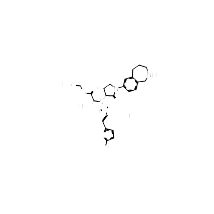 CCOC(=O)[C@H](C)N([C@H]1CCN(c2ccc3c(c2)CCCNC3)C1=O)S(=O)(=O)/C=C/c1ccc(Cl)s1.Cl